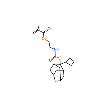 C=C(C)C(=O)OCCNC(=O)OC1(C2CCC2)C2CC3CC(C2)CC1C3